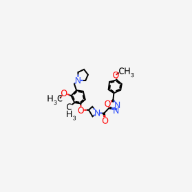 COc1ccc(-c2nnc(C(=O)N3CC(Oc4ccc(CN5CCCC5)c(OC)c4C)C3)o2)cc1